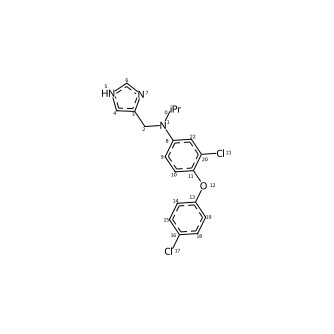 CC(C)N(Cc1c[nH]cn1)c1ccc(Oc2ccc(Cl)cc2)c(Cl)c1